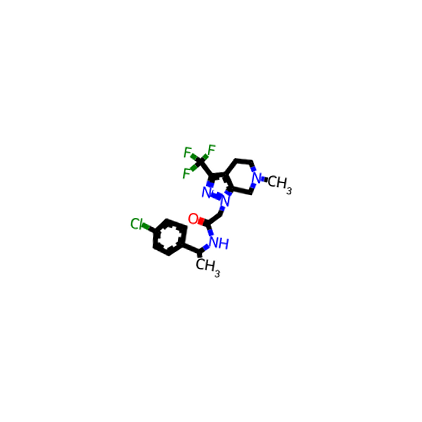 CC(NC(=O)Cn1nc(C(F)(F)F)c2c1CN(C)CC2)c1ccc(Cl)cc1